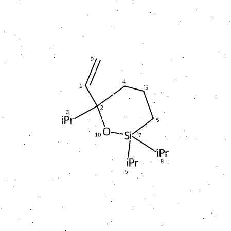 C=CC1(C(C)C)CCC[Si](C(C)C)(C(C)C)O1